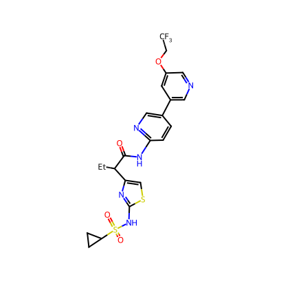 CCC(C(=O)Nc1ccc(-c2cncc(OCC(F)(F)F)c2)cn1)c1csc(NS(=O)(=O)C2CC2)n1